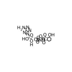 Nc1ncnc2c1ncn2[C@@H]1O[C@H](COS(=O)(=O)NC(=O)N2C(=O)c3cccc(O)c3C2=O)[C@@H](O)[C@H]1O